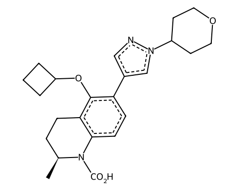 C[C@H]1CCc2c(ccc(-c3cnn(C4CCOCC4)c3)c2OC2CCC2)N1C(=O)O